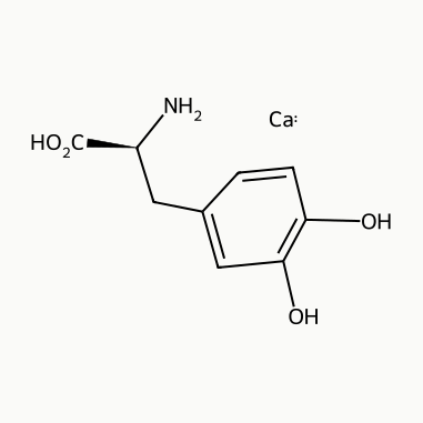 N[C@@H](Cc1ccc(O)c(O)c1)C(=O)O.[Ca]